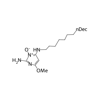 CCCCCCCCCCCCCCCCCNc1cc(OC)nc(N)[n+]1[O-]